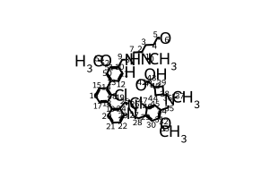 CNC(CCC=O)CNCc1ccc(-c2cccc(-c3cccc4c3cnn4Cc3cc(OC)c(CN(C)C4CC(C(=O)O)C4)cc3Cl)c2Cl)cc1OC